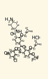 Cl.N[C@H]1CC[C@H](NC(=O)c2ccc(C(=O)O[C@@H](Cc3c(Cl)c[n+]([O-])cc3Cl)c3ccc(OC(F)F)c(OCC4CC4)c3)cc2OCC2CC2)CC1